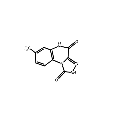 O=c1[nH]c2cc(C(F)(F)F)ccc2n2c(=O)[nH]nc12